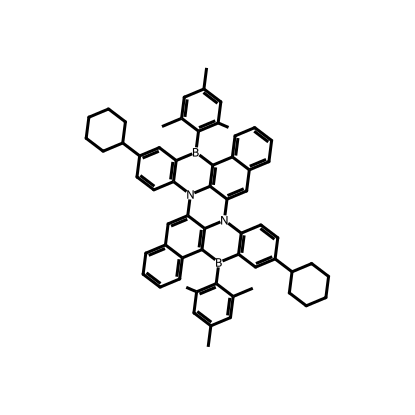 Cc1cc(C)c(B2c3cc(C4CCCCC4)ccc3N3c4cc5ccccc5c5c4N(c4ccc(C6CCCCC6)cc4B5c4c(C)cc(C)cc4C)c4cc5ccccc5c2c43)c(C)c1